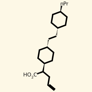 C=CCC(C(=O)O)[C@H]1CC[C@H](CC[C@H]2CC[C@H](CCC)CC2)CC1